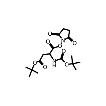 CC(C)(C)OC(=O)CC(NC(=O)OC(C)(C)C)C(=O)ON1C(=O)CCC1=O